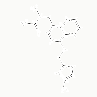 CN(Cc1cnc(OCc2ncn(C)n2)c2ccccc12)C(N)=O